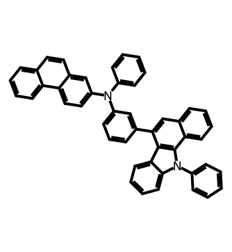 c1ccc(N(c2cccc(-c3cc4ccccc4c4c3c3ccccc3n4-c3ccccc3)c2)c2ccc3c(ccc4ccccc43)c2)cc1